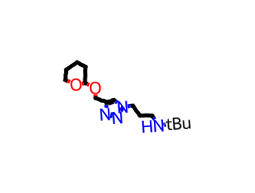 CC(C)(C)NCCCn1cc(COC2CCCCO2)nn1